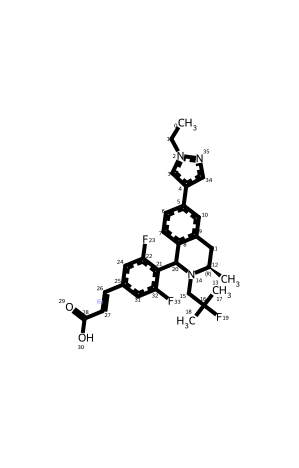 CCn1cc(-c2ccc3c(c2)C[C@@H](C)N(CC(C)(C)F)C3c2c(F)cc(/C=C/C(=O)O)cc2F)cn1